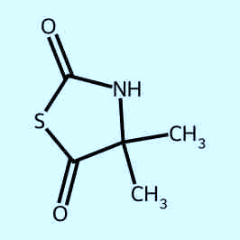 CC1(C)NC(=O)SC1=O